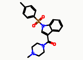 Cc1ccc(S(=O)(=O)n2cc(C(=O)N3CCN(C)CC3)c3ccccc32)cc1